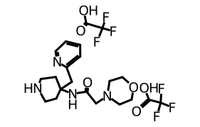 O=C(CN1CCOCC1)NC1(Cc2ccccn2)CCNCC1.O=C(O)C(F)(F)F.O=C(O)C(F)(F)F